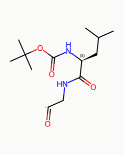 CC(C)C[C@H](NC(=O)OC(C)(C)C)C(=O)NC[C]=O